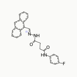 O=C(CCC(=O)Nc1ccc(F)cc1)N/N=C/c1c2ccccc2cc2ccccc12